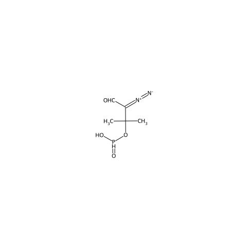 CC(C)(O[PH](=O)O)C(C=O)=[N+]=[N-]